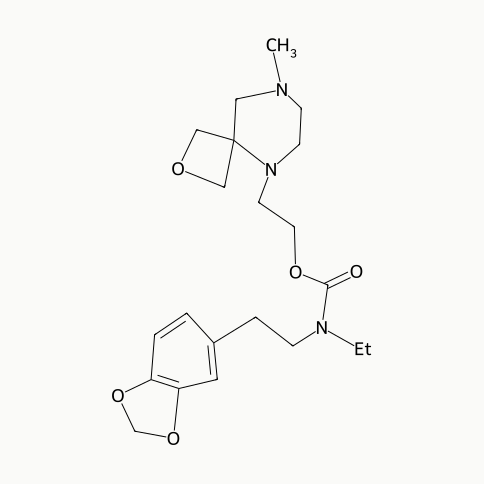 CCN(CCc1ccc2c(c1)OCO2)C(=O)OCCN1CCN(C)CC12COC2